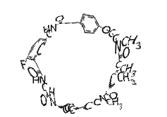 CN1CCOc2ccc(cc2)C(=O)NCc2ccc(F)c(c2)C(=O)NCC(=O)Nc2ccc(cc2)CCN(C)C(=O)CC(C)(C)CC1=O